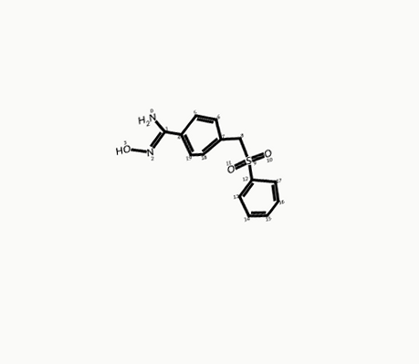 N/C(=N\O)c1ccc(CS(=O)(=O)c2ccccc2)cc1